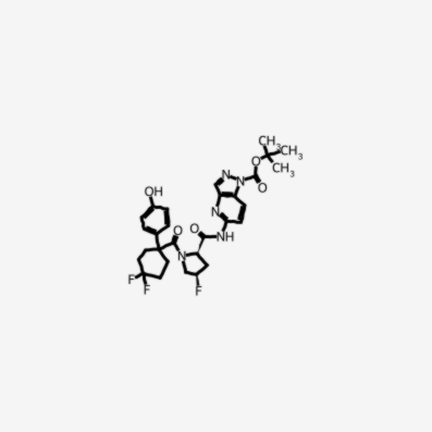 CC(C)(C)OC(=O)n1ncc2nc(NC(=O)[C@H]3C[C@@H](F)CN3C(=O)C3(c4ccc(O)cc4)CCC(F)(F)CC3)ccc21